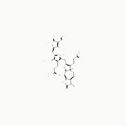 C=CC1=C(C)/C(=C\c2[nH]c(CC3=C(CCC(=O)O)C4(C)CC=C5C(=CC4=N3)NC(=O)C5C)c(CCC(=O)O)c2C)NC1=O